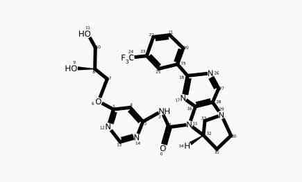 O=C(Nc1cc(OC[C@@H](O)CO)ncn1)N1c2nc(-c3cccc(C(F)(F)F)c3)ncc2N2CC[C@H]1C2